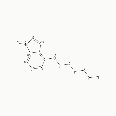 CCCCCCOc1cccc2c1ccn2C